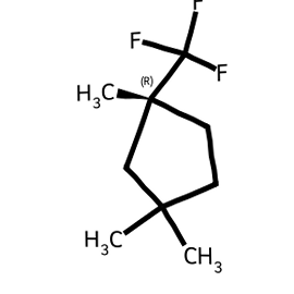 CC1(C)CC[C@@](C)(C(F)(F)F)C1